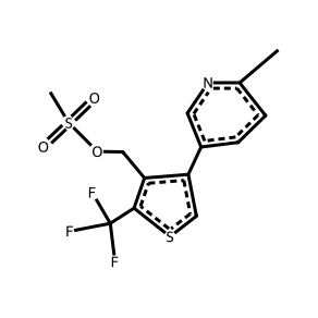 Cc1ccc(-c2csc(C(F)(F)F)c2COS(C)(=O)=O)cn1